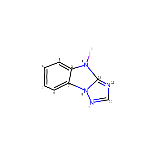 In1c2ccccc2n2ncnc12